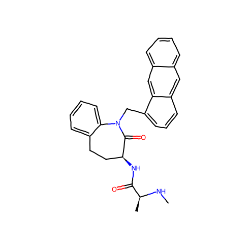 CN[C@@H](C)C(=O)N[C@H]1CCc2ccccc2N(Cc2cccc3cc4ccccc4cc23)C1=O